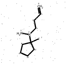 C=CCCN(N)C1(I)CCCC1